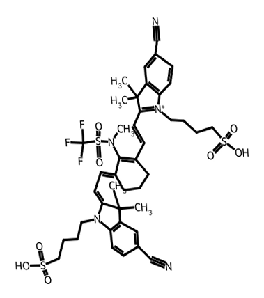 CN(C1=C(/C=C/C2=[N+](CCCCS(=O)(=O)O)c3ccc(C#N)cc3C2(C)C)CCC/C1=C\C=C1\N(CCCCS(=O)(=O)O)c2ccc(C#N)cc2C1(C)C)S(=O)(=O)C(F)(F)F